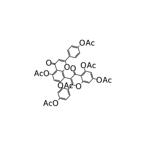 CC(=O)Oc1ccc(-c2cc(=O)c3c(OC(C)=O)cc(OC(C)=O)c(-c4c(-c5ccc(OC(C)=O)cc5)oc5cc(OC(C)=O)cc(OC(C)=O)c5c4=O)c3o2)cc1